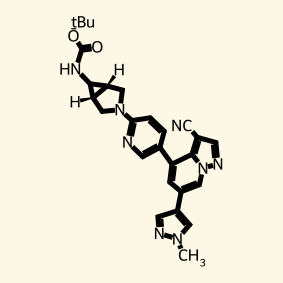 Cn1cc(-c2cc(-c3ccc(N4C[C@@H]5C(NC(=O)OC(C)(C)C)[C@@H]5C4)nc3)c3c(C#N)cnn3c2)cn1